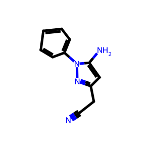 N#CCc1cc(N)n(-c2ccccc2)n1